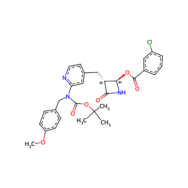 COc1ccc(CN(C(=O)OC(C)(C)C)c2cc(C[C@H]3C(=O)N[C@@H]3OC(=O)c3cccc(Cl)c3)ccn2)cc1